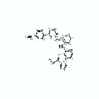 COC(=O)c1cccn1-c1ccnc(N[C@@H]2CCCC[C@H]2N[C@H]2CCCN(c3ccc(C#N)cc3)C2)c1